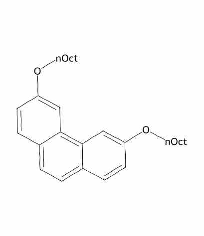 CCCCCCCCOc1ccc2ccc3ccc(OCCCCCCCC)cc3c2c1